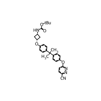 CC(C)(C)OC(=O)N[C@H]1C[C@H](Oc2ccc(C(C)(C)c3ccc(Oc4ccc(C#N)nn4)cc3)cc2)C1